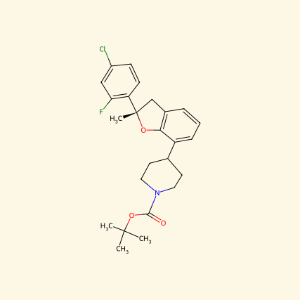 CC(C)(C)OC(=O)N1CCC(c2cccc3c2O[C@](C)(c2ccc(Cl)cc2F)C3)CC1